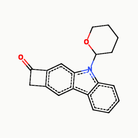 O=C1Cc2cc3c4ccccc4n(C4CCCCO4)c3cc21